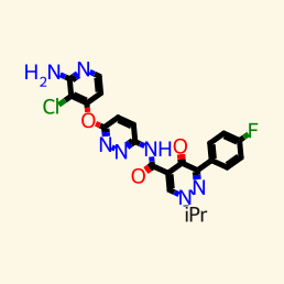 CC(C)n1cc(C(=O)Nc2ccc(Oc3ccnc(N)c3Cl)nn2)c(=O)c(-c2ccc(F)cc2)n1